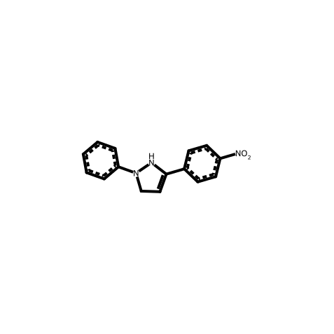 O=[N+]([O-])c1ccc(C2=CCN(c3ccccc3)N2)cc1